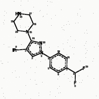 CC(C)c1cn(-c2ccc(C(F)F)cc2)nc1N1CCNCC1